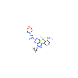 Cn1nc(-c2cccc(N)c2C(F)(F)F)c2cnc(NCCN3CCOCC3)nc21